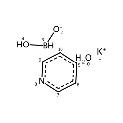 O.[K+].[O-]BO.c1ccncc1